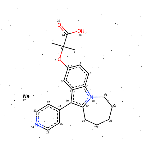 CC(C)(Oc1ccc2c(c1)c(-c1ccncc1)c1n2CCCCC1)C(=O)O.[Na]